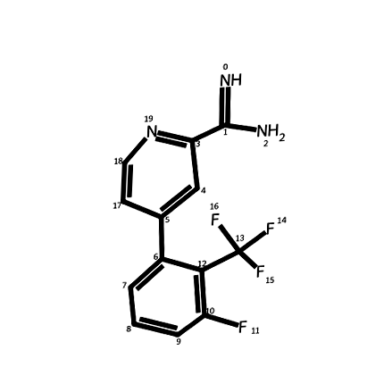 N=C(N)c1cc(-c2cccc(F)c2C(F)(F)F)ccn1